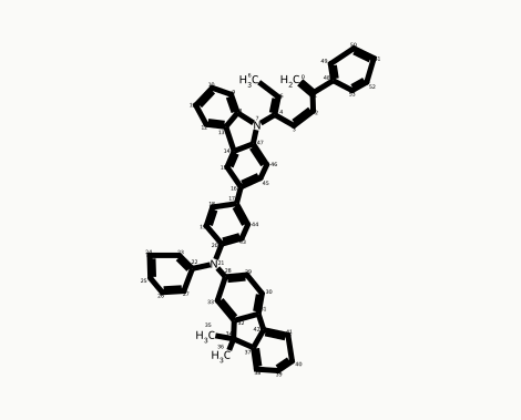 C=C(/C=C\C(=CC)n1c2ccccc2c2cc(-c3ccc(N(c4ccccc4)c4ccc5c(c4)C(C)(C)c4ccccc4-5)cc3)ccc21)c1ccccc1